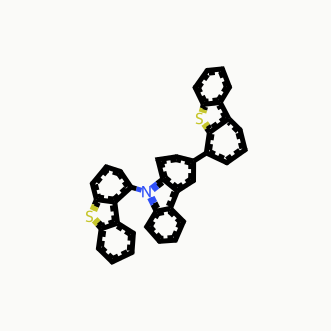 c1ccc2c(c1)sc1c(-c3ccc4c(c3)c3ccccc3n4-c3cccc4sc5ccccc5c34)cccc12